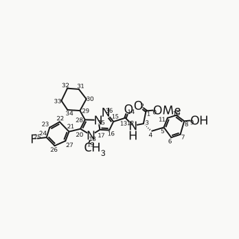 COC(=O)[C@H](Cc1ccc(O)cc1)NC(=O)c1cc2n(C)c(-c3ccc(F)cc3)c(C3CCCCC3)n2n1